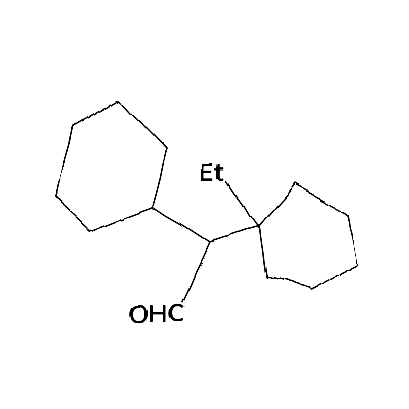 CCC1(C(C=O)C2CCCCC2)CCCCC1